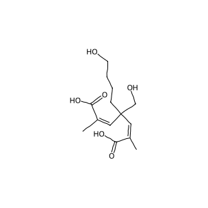 CC(=CC(C=C(C)C(=O)O)(CO)CCCCO)C(=O)O